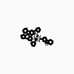 c1ccc(-c2nc(-c3ccc4c(c3)oc3ccccc34)nc(-n3c4ccccc4c4cc5c(cc43)C3(c4ccccc4-c4ccccc43)c3ccccc3-5)n2)cc1